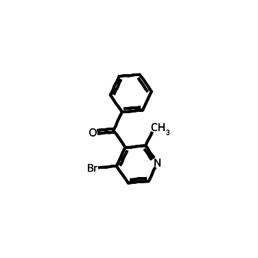 Cc1nccc(Br)c1C(=O)c1ccccc1